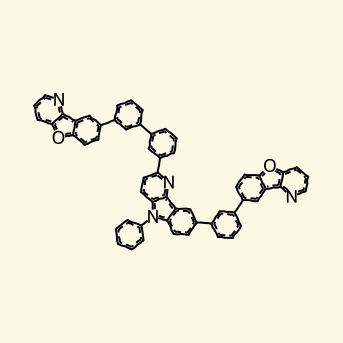 c1ccc(-n2c3ccc(-c4cccc(-c5ccc6oc7cccnc7c6c5)c4)cc3c3nc(-c4cccc(-c5cccc(-c6ccc7oc8cccnc8c7c6)c5)c4)ccc32)cc1